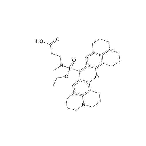 CCOP(=O)(C1=c2cc3c4c(c2Oc2c1cc1c5c2CCCN5CCC1)CCC[N+]=4CCC3)N(C)CCC(=O)O